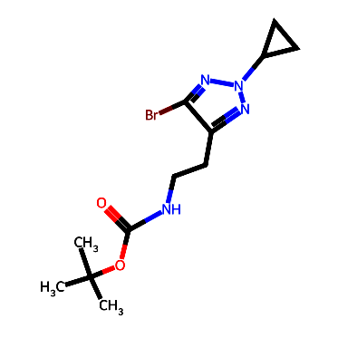 CC(C)(C)OC(=O)NCCc1nn(C2CC2)nc1Br